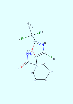 NC(=O)C1(c2oc(C(F)(F)C(F)(F)F)nc2F)CCCCC1